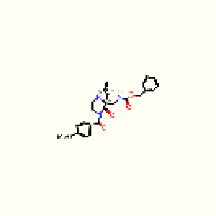 C=CC[C@@]1(CNC(=O)OCc2ccccc2)C(=O)N(C(=O)c2ccc(OC)cc2)CCN1C(=O)O